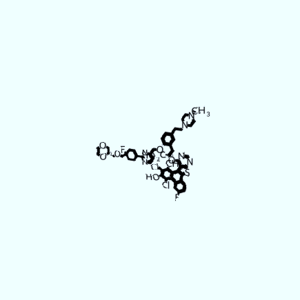 Cc1c(Cl)c(O)c(Cl)c2c3cc(F)ccc3c3sc4ncnc(O[C@H](Cc5cc(CCN6CCN(C)CC6)ccc5OCc5ccnc(C6=CC[C@@](F)(COC[C@H]7COCCO7)CC6)n5)C(=O)O)c4c3c12